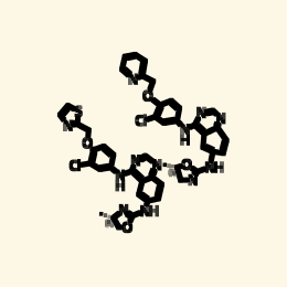 C[C@H]1CN=C(Nc2ccc3ncnc(Nc4ccc(OCc5ccccn5)c(Cl)c4)c3c2)O1.C[C@H]1COC(Nc2ccc3ncnc(Nc4ccc(OCc5nccs5)c(Cl)c4)c3c2)=N1